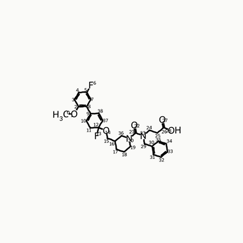 COc1ccc(F)cc1C1=CCC(F)(OCC2CCCN(C(=O)N(CCC(=O)O)Cc3ccccc3)C2)C=C1